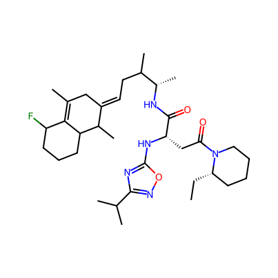 CC[C@H]1CCCCN1C(=O)C[C@H](Nc1nc(C(C)C)no1)C(=O)N[C@@H](C)C(C)C/C=C1\CC(C)=C2C(F)CCCC2C1C